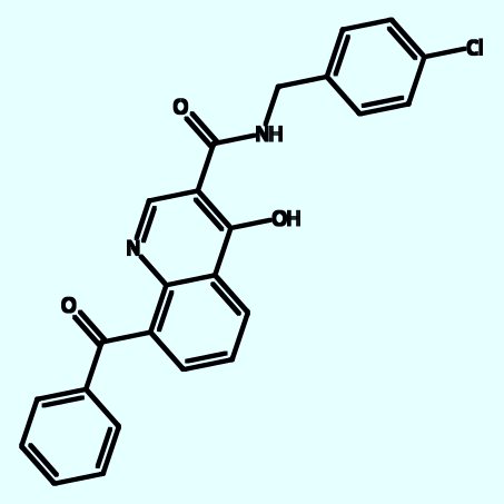 O=C(NCc1ccc(Cl)cc1)c1cnc2c(C(=O)c3ccccc3)cccc2c1O